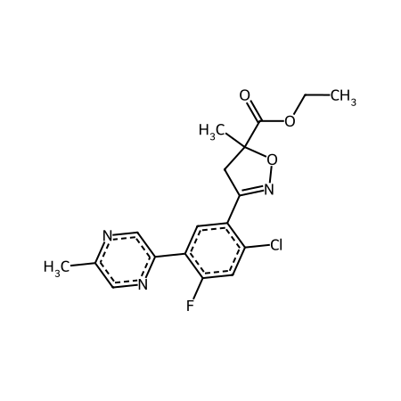 CCOC(=O)C1(C)CC(c2cc(-c3cnc(C)cn3)c(F)cc2Cl)=NO1